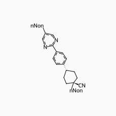 CCCCCCCCCc1cnc(-c2ccc([C@H]3CC[C@@](C#N)(CCCCCCCCC)CC3)cc2)nc1